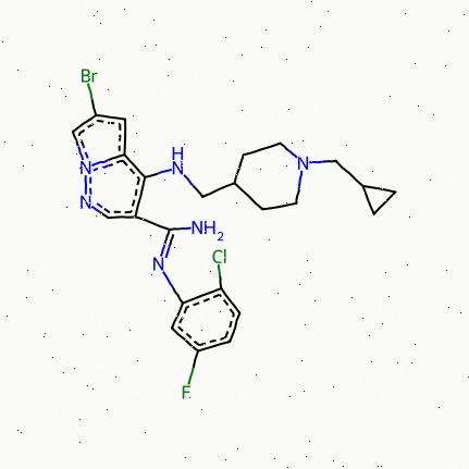 N/C(=N\c1cc(F)ccc1Cl)c1cnn2cc(Br)cc2c1NCC1CCN(CC2CC2)CC1